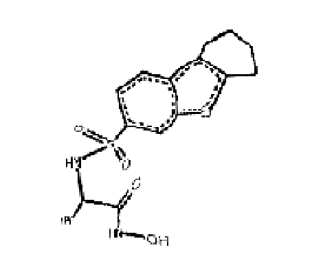 CC(C)C(NS(=O)(=O)c1ccc2c3c(oc2c1)CCCC3)C(=O)NO